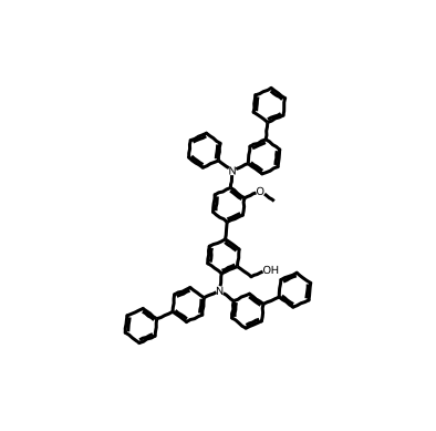 COc1cc(-c2ccc(N(c3ccc(-c4ccccc4)cc3)c3cccc(-c4ccccc4)c3)c(CO)c2)ccc1N(c1ccccc1)c1cccc(-c2ccccc2)c1